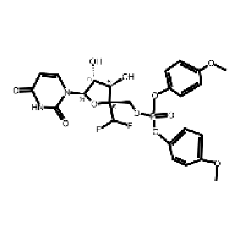 COc1ccc(OP(=O)(OC[C@@]2(C(F)F)O[C@@H](n3ccc(=O)[nH]c3=O)[C@H](O)[C@H]2O)Oc2ccc(OC)cc2)cc1